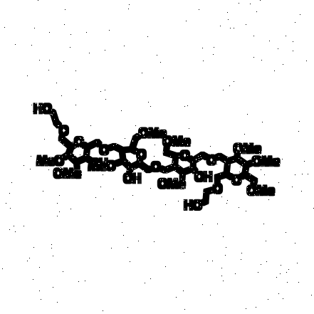 COCC1OC(COCC2C(COCCO)OC(COC)C(OC)C2OC)C(O)C(OC)C1COCC1OC(COC)C(COCC2OC(COCCO)C(OC)C(OC)C2O)C(OC)C1O